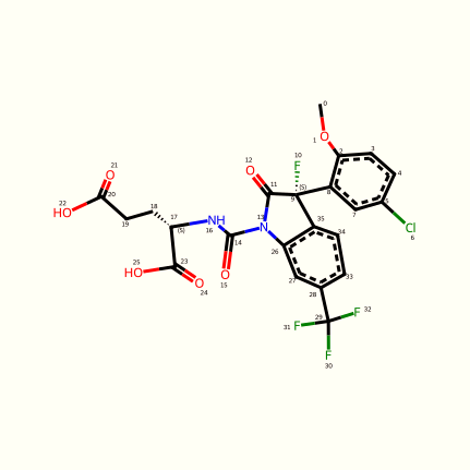 COc1ccc(Cl)cc1[C@]1(F)C(=O)N(C(=O)N[C@@H](CCC(=O)O)C(=O)O)c2cc(C(F)(F)F)ccc21